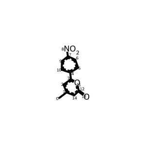 Cc1cc(-c2ccc([N+](=O)[O-])cc2)oc(=O)c1